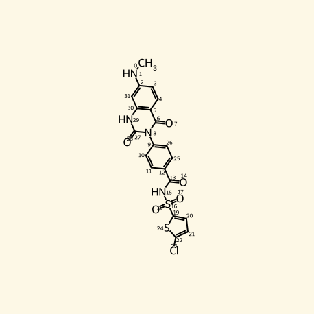 CNc1ccc2c(=O)n(-c3ccc(C(=O)NS(=O)(=O)c4ccc(Cl)s4)cc3)c(=O)[nH]c2c1